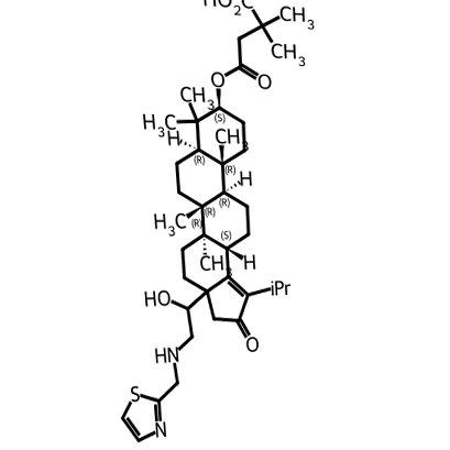 CC(C)C1=C2[C@H]3CC[C@@H]4[C@@]5(C)CC[C@H](OC(=O)CC(C)(C)C(=O)O)C(C)(C)[C@@H]5CC[C@@]4(C)[C@]3(C)CCC2(C(O)CNCc2nccs2)CC1=O